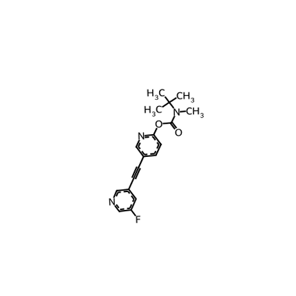 CN(C(=O)Oc1ccc(C#Cc2cncc(F)c2)cn1)C(C)(C)C